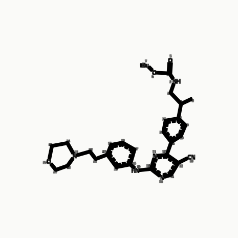 CC(CNC(=O)OC(C)(C)C)c1ccc(-c2nc(Nc3cccc(CCN4CCOCC4)c3)ncc2C#N)cc1